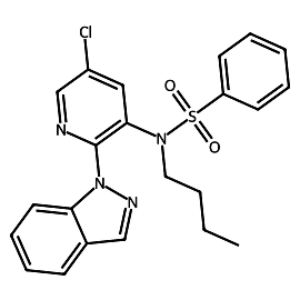 CCCCN(c1cc(Cl)cnc1-n1ncc2ccccc21)S(=O)(=O)c1ccccc1